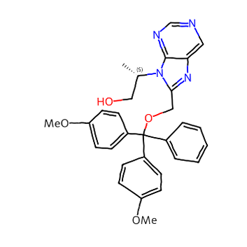 COc1ccc(C(OCc2nc3cncnc3n2[C@@H](C)CO)(c2ccccc2)c2ccc(OC)cc2)cc1